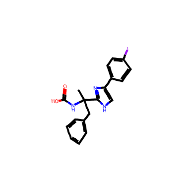 CC(Cc1ccccc1)(NC(=O)O)c1nc(-c2ccc(I)cc2)c[nH]1